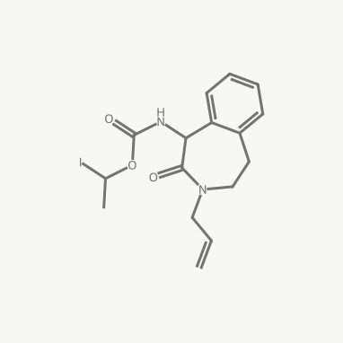 C=CCN1CCc2ccccc2C(NC(=O)OC(C)I)C1=O